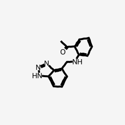 CC(=O)c1ccccc1NCc1cccc2[nH]nnc12